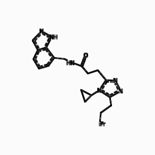 CC(C)CCc1nnc(CCC(=O)NCc2cccc3cn[nH]c23)n1C1CC1